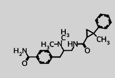 CN(C)C(CNC(=O)C1CC1(C)c1ccccc1)Cc1ccc(C(N)=O)cc1